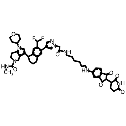 CNC(=O)N1CCc2c(c(C3CCCc4cc(-c5cnn(CC(=O)NCCCCCCNc6ccc7c(c6)C(=O)C(C6CCC(=O)NC6=O)C7=O)c5)c(C(F)F)cc43)cn2C2CCOCC2)C1